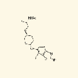 CC(=O)N[C@@H](C)CO[C@H]1CC[C@H](Oc2ccc3nc(C(C)C)oc3c2F)CC1